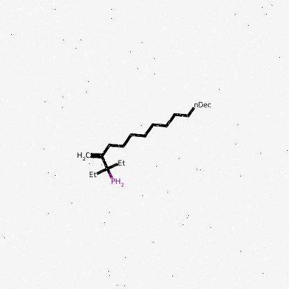 C=C(CCCCCCCCCCCCCCCCCC)C(P)(CC)CC